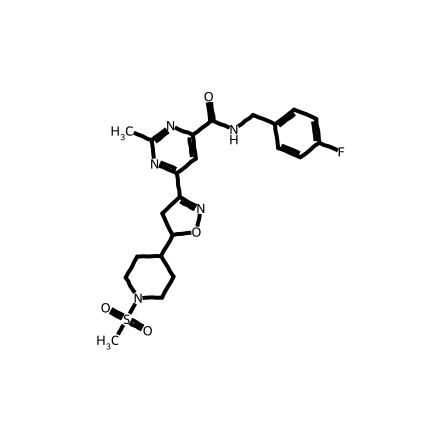 Cc1nc(C(=O)NCc2ccc(F)cc2)cc(C2=NOC(C3CCN(S(C)(=O)=O)CC3)C2)n1